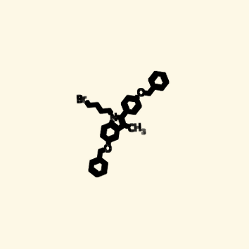 Cc1c(-c2ccc(OCc3ccccc3)cc2)n(CCCCBr)c2ccc(OCc3ccccc3)cc12